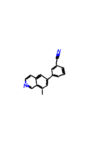 Cc1cc(-c2cccc(C#N)c2)cc2ccncc12